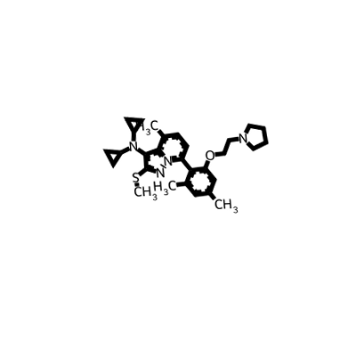 CSc1nn2c(-c3c(C)cc(C)cc3OCCN3CCCC3)ccc(C)c2c1N(C1CC1)C1CC1